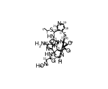 CCSC1NC(=O)C2=NC3=C4C(=O)ON2[C@@]2(Sc5ccncc51)C(=O)N4[C@H]2SC3(NC(=O)C=NO)c1nc(N)sc1Cl